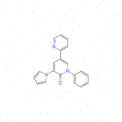 O=c1c(-n2cccc2)cc(-c2ccccn2)cn1-c1ccccc1